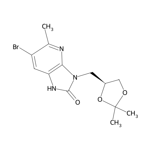 Cc1nc2c(cc1Br)[nH]c(=O)n2C[C@H]1COC(C)(C)O1